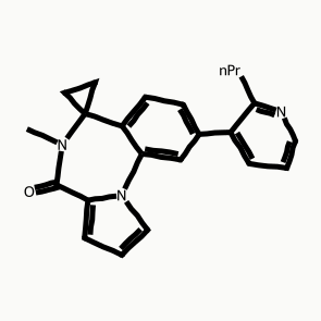 CCCc1ncccc1-c1ccc2c(c1)-n1cccc1C(=O)N(C)C21CC1